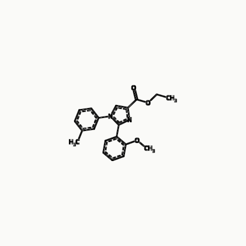 CCOC(=O)c1cn(-c2cccc(C)c2)c(-c2ccccc2OC)n1